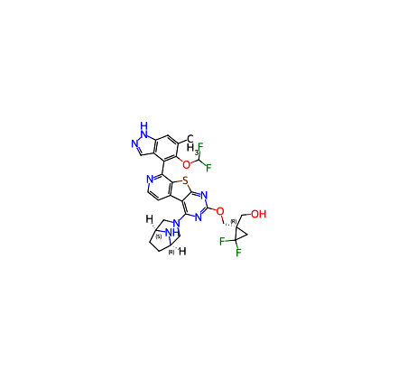 Cc1cc2[nH]ncc2c(-c2nccc3c2sc2nc(OC[C@]4(CO)CC4(F)F)nc(N4C[C@H]5CC[C@@H](C4)N5)c23)c1OC(F)F